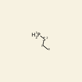 CCSP